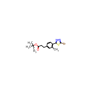 Cc1cc(CCC(=O)OC(C)(C)C)ccc1-c1nnc(Br)s1